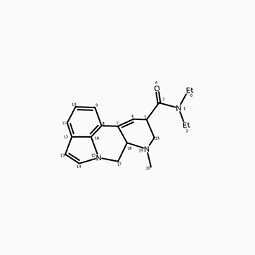 CCN(CC)C(=O)C1C=C2c3cccc4ccn(c34)CC2N(C)C1